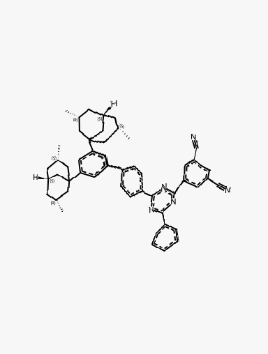 C[C@@H]1C[C@@H]2C[C@H](C)CC(c3cc(-c4ccc(-c5nc(-c6ccccc6)nc(-c6cc(C#N)cc(C#N)c6)n5)cc4)cc(C45C[C@H](C)C[C@H](C[C@H](C)C4)C5)c3)(C1)C2